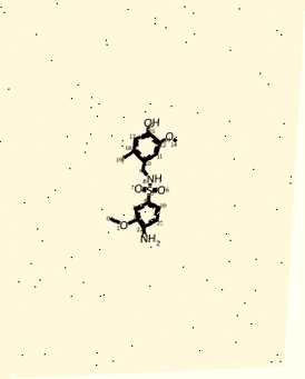 COc1cc(S(=O)(=O)NCc2cc(OC)c(O)cc2I)ccc1N